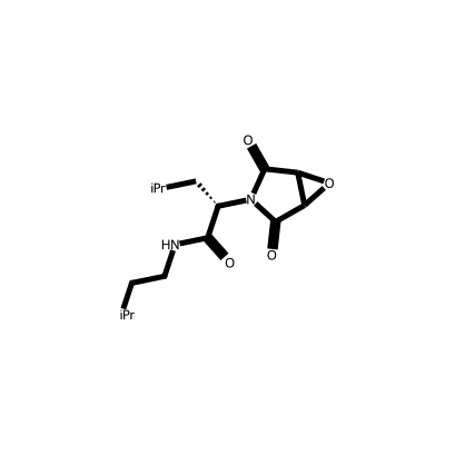 CC(C)CCNC(=O)[C@H](CC(C)C)N1C(=O)C2OC2C1=O